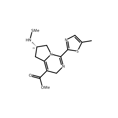 COC(=O)C1=C2C[C@H](NSC)CN2C(c2ncc(C)s2)=NC1